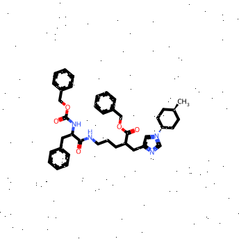 C[C@H]1CC[C@H](n2cnc(CC(CCCNC(=O)C(Cc3ccccc3)NC(=O)OCc3ccccc3)C(=O)OCc3ccccc3)c2)CC1